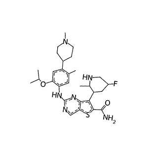 Cc1cc(Nc2ncc3sc(C(N)=O)c(C4CC(F)CNC4C)c3n2)c(OC(C)C)cc1C1CCN(C)CC1